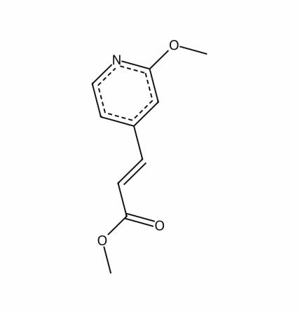 COC(=O)C=Cc1ccnc(OC)c1